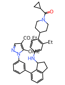 CCOC(=O)c1cnn(-c2cccc(-c3cccc4c3C(Nc3ccc(C5CCN(C(=O)C6CC6)CC5)c(CC)c3)CC4)c2)c1OC